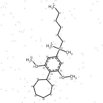 CCCCCC[Si](C)(C)c1cc(OC)c(C2CCCCCC2)c(OC)c1